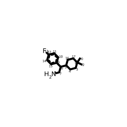 CC1(C)CCC(C(CN)c2ccc(F)cc2)CC1